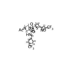 CC(=O)N1CCN(S(=O)(=O)c2ccc(-c3cc(C(F)(F)F)on3)s2)C(C(=O)NCc2ccc(C(F)(F)F)cc2)C1